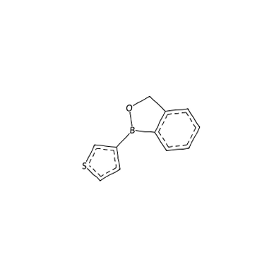 c1ccc2c(c1)COB2c1ccsc1